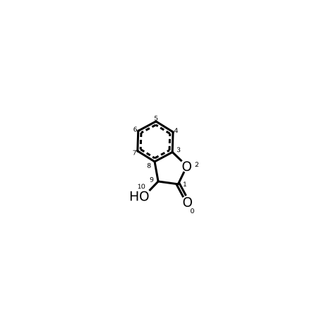 O=C1Oc2ccccc2C1O